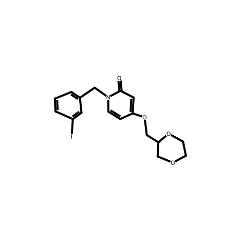 O=c1cc(OCC2COCCO2)ccn1Cc1cccc(I)c1